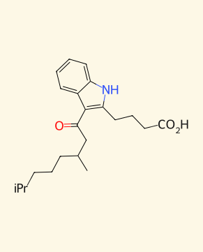 CC(C)CCCC(C)CC(=O)c1c(CCCC(=O)O)[nH]c2ccccc12